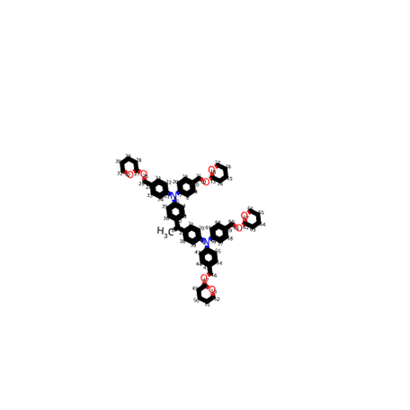 CC(c1ccc(N(c2ccc(COC3CCCCO3)cc2)c2ccc(COC3CCCCO3)cc2)cc1)c1ccc(N(c2ccc(COC3CCCCO3)cc2)c2ccc(COC3CCCCO3)cc2)cc1